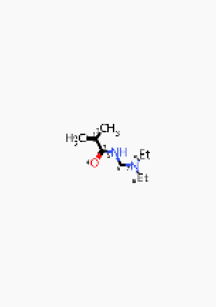 C=C(C)C(=O)NCN(CC)CC